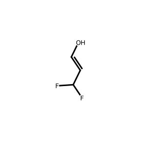 OC=CC(F)F